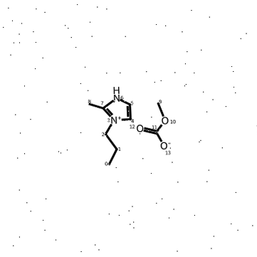 CCC[n+]1cc[nH]c1C.COC(=O)[O-]